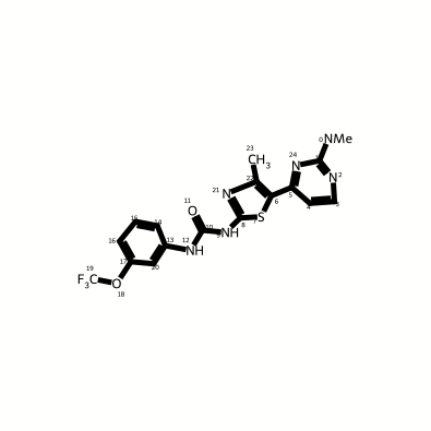 CNc1nccc(-c2sc(NC(=O)Nc3cccc(OC(F)(F)F)c3)nc2C)n1